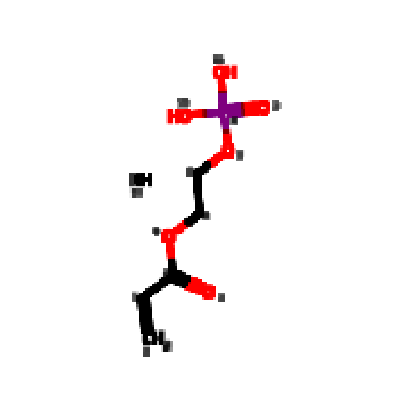 C=CC(=O)OCCOP(=O)(O)O.[KH]